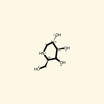 OC[C@H]1NC[C@H](O)[C@@H](O)C1O